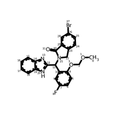 COCOc1ccc(F)cc1C(c1nc2ccccc2[nH]1)N1Cc2ccc(Br)cc2C1=O